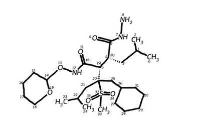 CC(C)C[C@@H](C(=O)NN)[C@@H](C(=O)NOC1CCCCO1)C(CC(C)C)(CC1CCCCC1)S(C)(=O)=O